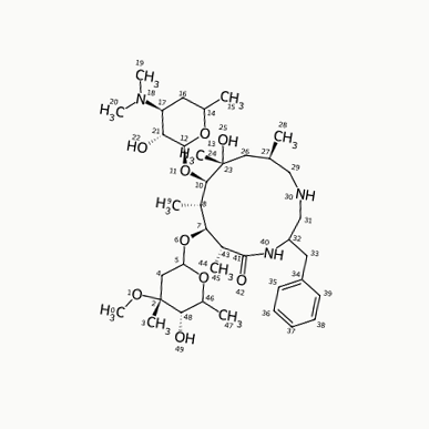 CO[C@]1(C)CC(O[C@H]2[C@H](C)[C@@H](O[C@@H]3OC(C)C[C@H](N(C)C)[C@H]3O)[C@](C)(O)C[C@@H](C)CNCC(Cc3ccccc3)NC(=O)[C@@H]2C)OC(C)[C@@H]1O